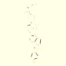 CCCC1(C(=O)NNc2cnc3c(ccn3S(=O)(=O)c3ccc(C)cc3)n2)CCC(C)(NC(=O)OC(C)(C)C)CC1